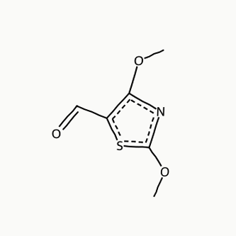 COc1nc(OC)c(C=O)s1